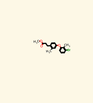 COC(=O)CCc1ccc(Oc2cccc(Br)c2C)cc1C